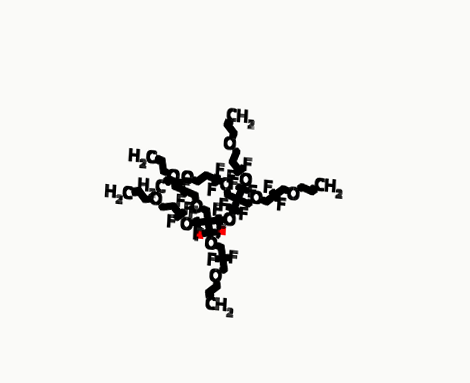 C=CCOCCC(F)(F)OCC(COCC(F)(F)COCC=C)(C(F)(F)OC(F)(F)CCOCC=C)C(F)(F)OC(F)(F)C(COCC(F)(F)COCC=C)(C(F)(F)OCC(F)(F)COCC=C)C(F)(F)OC(F)(F)CCOCC=C